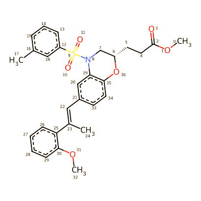 COC(=O)CC[C@H]1CN(S(=O)(=O)c2cccc(C)c2)c2cc(/C=C(\C)c3ccccc3OC)ccc2O1